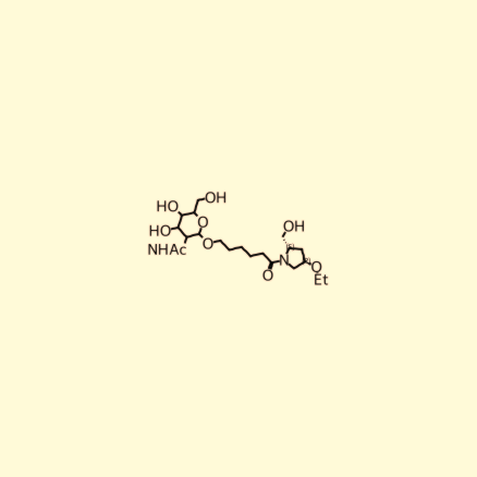 CCO[C@@H]1C[C@@H](CO)N(C(=O)CCCCCOC2OC(CO)C(O)C(O)C2NC(C)=O)C1